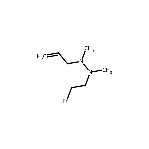 C=CCN(C)N(C)CCC(C)C